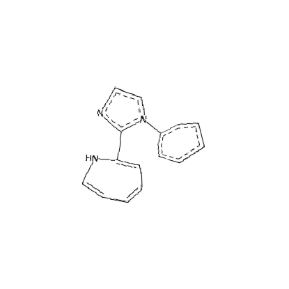 C1=CC=C(c2nccn2-c2ccccc2)NC=C1